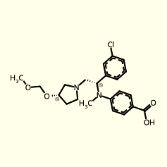 COCO[C@H]1CCN(C[C@H](c2cccc(Cl)c2)N(C)c2ccc(C(=O)O)cc2)C1